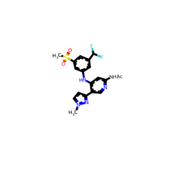 CC(=O)Nc1cc(Nc2cc(C(F)F)cc(S(C)(=O)=O)c2)c(-c2ccn(C)n2)cn1